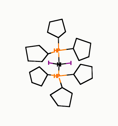 [I][Ni]([I])([PH](C1CCCC1)(C1CCCC1)C1CCCC1)[PH](C1CCCC1)(C1CCCC1)C1CCCC1